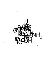 CCCCCC(=O)NCCn1ccc2cc(-n3c(O)nnc3-c3cc(C(C)C)c(O)cc3O)ccc21.NC(=O)CCCC[C@H]1SC[C@H]2NC(=O)N[C@H]21